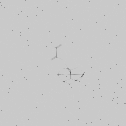 C=C(C)C(=O)OC1C2OC3OC14CC3C2C4